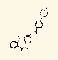 CN1CCN(c2ccc(C(=O)Nc3ncc4c(n3)N(C)c3ccccc3C(=O)N4C)cc2)CC1